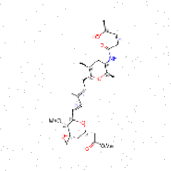 COC(=O)C[C@@H]1C[C@@]2(CO2)[C@H](OC)[C@@H](/C=C/C(C)=C/C[C@@H]2O[C@H](C)[C@H](NC(=O)/C=C\[C@H](C)O)C[C@@H]2C)O1